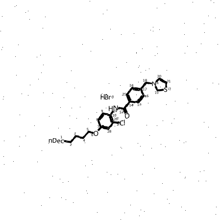 Br.CCCCCCCCCCCCCCOc1ccc(NC(=O)c2ccc(CN3C=CSC3)cc2)c(Cl)c1